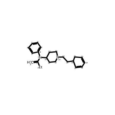 C=C(CC)N(c1ccccc1)C1CCN(CCC2C=CC=CC2)CC1